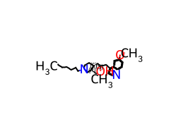 CCCCCCCN1CC[C@@H](C[C@H](O)Cc2ccnc3ccc(OC)cc23)[C@@H](CC)C1